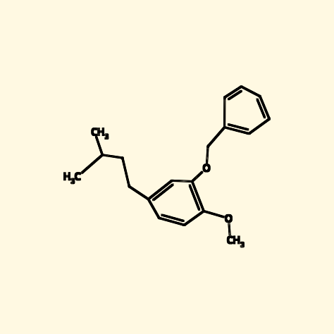 COc1ccc(CCC(C)C)cc1OCc1ccccc1